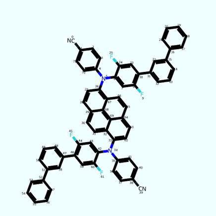 N#Cc1ccc(N(c2cc(F)c(-c3cccc(-c4ccccc4)c3)cc2F)c2ccc3ccc4c(N(c5ccc(C#N)cc5)c5cc(F)c(-c6cccc(-c7ccccc7)c6)cc5F)ccc5ccc2c3c54)cc1